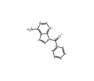 Nc1ncnc2c1ncn2C(=O)c1ccccc1